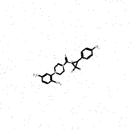 Cc1ccc(C(F)(F)F)cc1N1CCN(C(=S)[C@H]2C(c3ccc(C(F)(F)F)cc3)C2(F)F)CC1